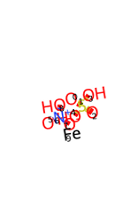 O=S(=O)(O)O.O=[N+]([O-])O.[Fe]